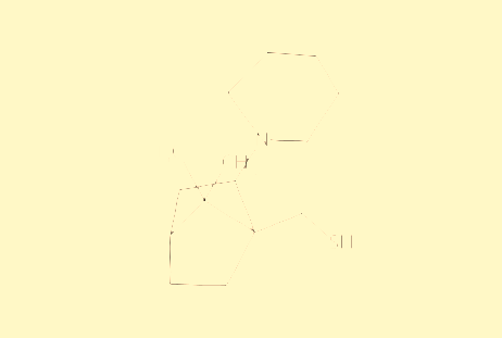 CC1(C)C2CCC1(CS)C(N1CCCCC1)C2